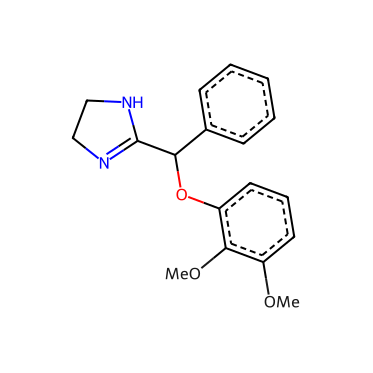 COc1cccc(OC(C2=NCCN2)c2ccccc2)c1OC